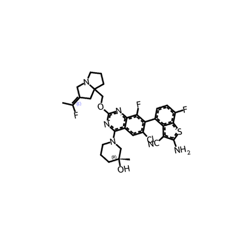 C/C(F)=C1\CN2CCCC2(COc2nc(N3CCC[C@@](C)(O)C3)c3cc(Cl)c(-c4ccc(F)c5sc(N)c(C#N)c45)c(F)c3n2)C1